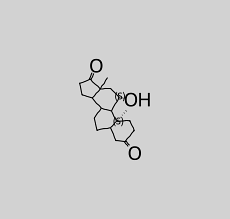 CC12C[C@H](O)C3C(CCC4CC(=O)CC[C@@]43C)C1CCC2=O